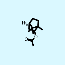 CC(=O)OC1C[C@H]2CCC1(C)C2(C)C